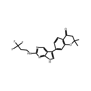 CC1(C)CC(=O)c2ccc(-c3c[nH]c4nc(NCCC(F)(F)F)ncc34)cc2O1